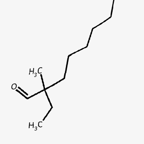 CCCCCCC(C)(C=O)CC